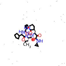 CCC[C@H](NC(=O)[C@H](NC(=O)C12CC(C1)C2)C1CCCC1)C(=O)N[C@@H](C[C@@H]1CCCNC1=O)C(=O)C(=O)NC1CC1